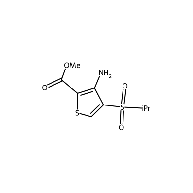 COC(=O)c1scc(S(=O)(=O)C(C)C)c1N